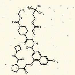 CCOC(=O)N1CCN(C(=O)[C@H](CCC(=O)OCCC(C)(C)O)NC(=O)c2cc(OCC(=O)N3CCC[C@H]3C(=O)NC3CCC3)c3ccc(C)cc3n2)CC1